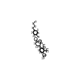 CCCCc1ccc(COC2CCC(c3ccc(OC)c(F)c3F)CO2)cc1